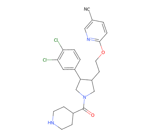 N#Cc1ccc(OCCC2CN(C(=O)C3CCNCC3)CC2c2ccc(Cl)c(Cl)c2)nc1